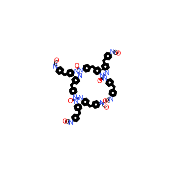 O=C=Nc1ccc(Cc2ccc(/N=C3\N(c4ccc(Cc5ccc(N=C=O)cc5)cc4)C(=O)N3c3ccc(Cc4ccc(/N=C5\N(c6ccc(Cc7ccc(N=C=O)cc7)cc6)C(=O)N5c5ccc(Cc6ccc(N7C(=O)N(c8ccc(Cc9ccc(N=C=O)cc9)cc8)/C7=N/c7ccc(Cc8ccc(N=C=O)cc8)cc7)cc6)cc5)cc4)cc3)cc2)cc1